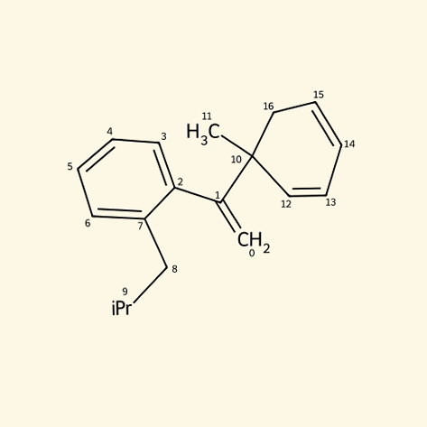 C=C(c1ccccc1CC(C)C)C1(C)C=CC=CC1